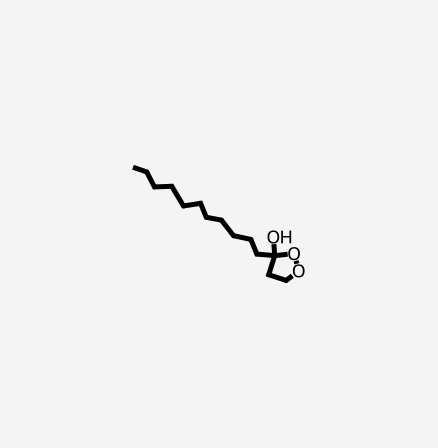 CCCCCCCCCCCC1(O)CCOO1